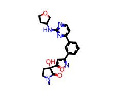 CN1CC[C@@](O)(c2cc(-c3cccc(-c4ccnc(N[C@H]5CCOC5)n4)c3)no2)C1=O